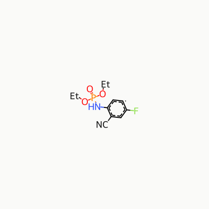 CCOP(=O)(Nc1c[c]c(F)cc1C#N)OCC